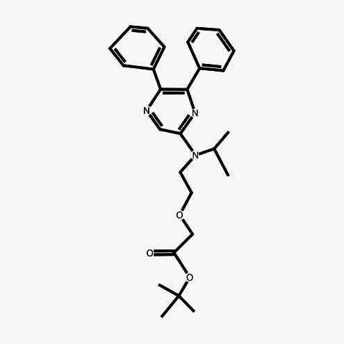 CC(C)N(CCOCC(=O)OC(C)(C)C)c1cnc(-c2ccccc2)c(-c2ccccc2)n1